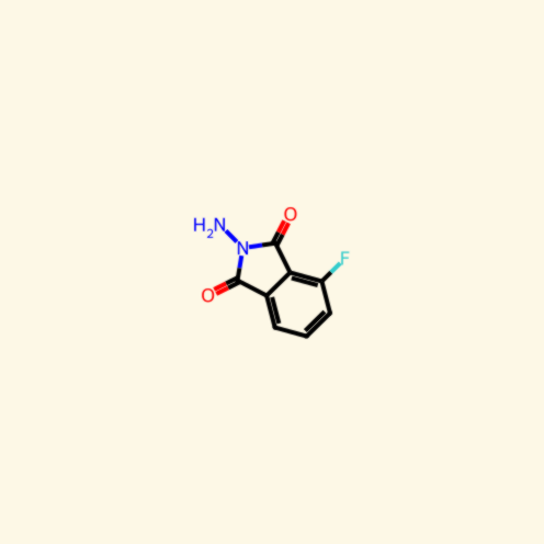 NN1C(=O)c2cccc(F)c2C1=O